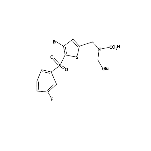 CC(C)(C)CN(Cc1cc(Br)c(S(=O)(=O)c2cccc(F)c2)s1)C(=O)O